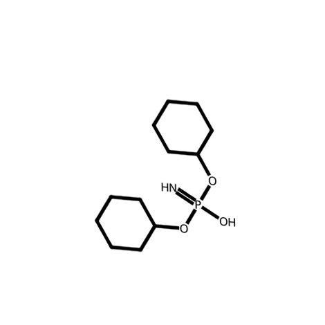 N=P(O)(OC1CCCCC1)OC1CCCCC1